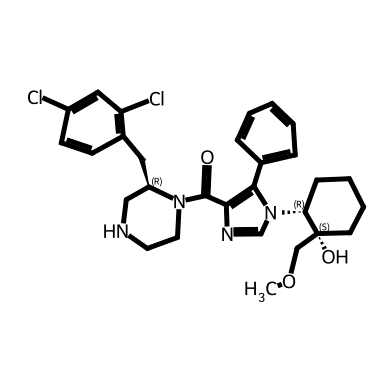 COC[C@]1(O)CCCC[C@H]1n1cnc(C(=O)N2CCNC[C@H]2Cc2ccc(Cl)cc2Cl)c1-c1ccccc1